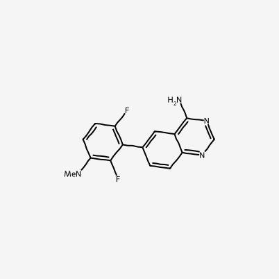 CNc1ccc(F)c(-c2ccc3ncnc(N)c3c2)c1F